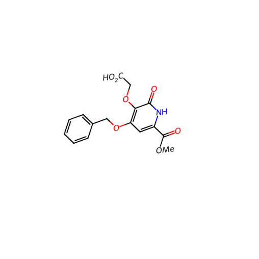 COC(=O)c1cc(OCc2ccccc2)c(OCC(=O)O)c(=O)[nH]1